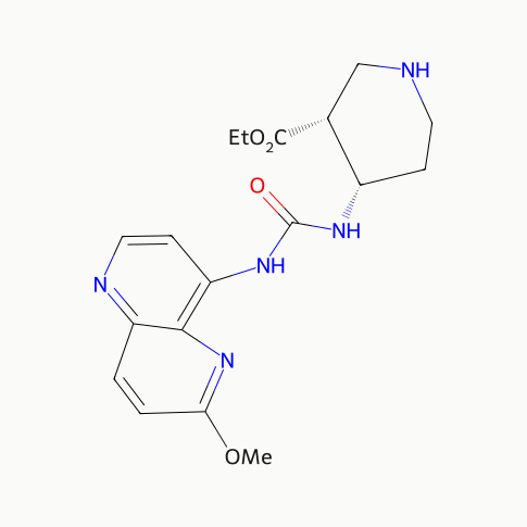 CCOC(=O)[C@@H]1CNCC[C@@H]1NC(=O)Nc1ccnc2ccc(OC)nc12